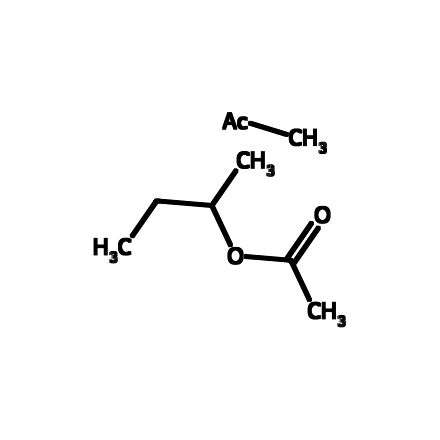 CC(C)=O.CCC(C)OC(C)=O